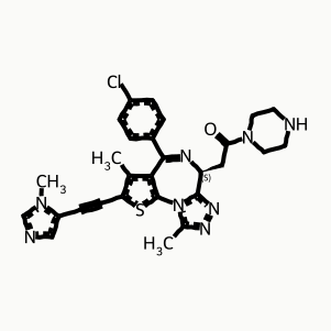 Cc1c(C#Cc2cncn2C)sc2c1C(c1ccc(Cl)cc1)=N[C@@H](CC(=O)N1CCNCC1)c1nnc(C)n1-2